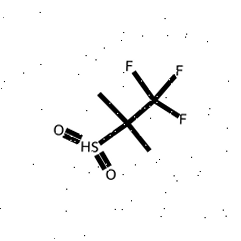 CC(C)([SH](=O)=O)C(F)(F)F